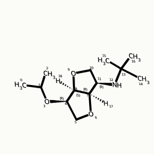 CC(C)O[C@@H]1CO[C@H]2[C@@H]1OC[C@H]2NC(C)(C)C